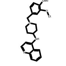 CCOc1cc(CN2CCC(Nc3ccnc4ccccc34)CC2)ccc1OCC(C)C